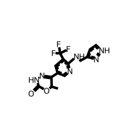 CC1OC(=O)NN=C1c1cnc(NCc2cc[nH]n2)c(C(F)(F)F)c1